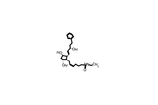 CCNC(=O)CCC/C=C\C[C@@H]1[C@H](/C=C/[C@@H](O)CCc2ccccc2)[C@H](O)C[C@H]1O